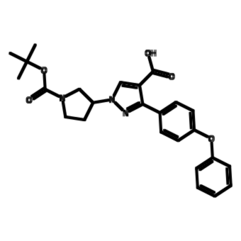 CC(C)(C)OC(=O)N1CCC(n2cc(C(=O)O)c(-c3ccc(Oc4ccccc4)cc3)n2)C1